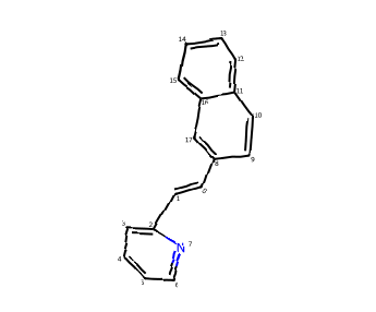 C(=Cc1ccccn1)c1ccc2ccccc2c1